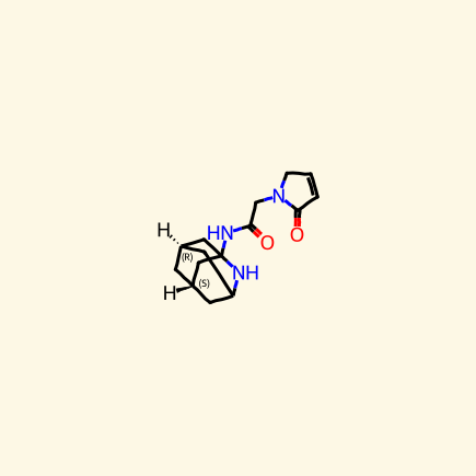 O=C(CN1CC=CC1=O)NC12C[C@@H]3CC(C[C@@H](C3)C1)N2